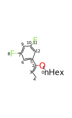 [CH2]CCCCCOC(=CC)c1cc(F)cc(F)c1